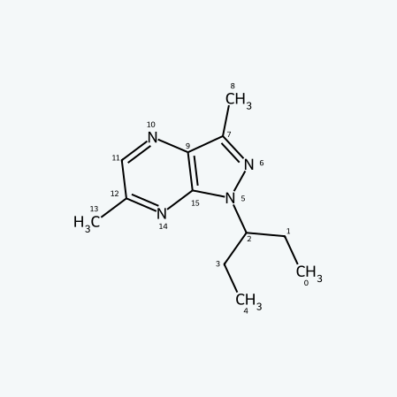 CCC(CC)n1nc(C)c2ncc(C)nc21